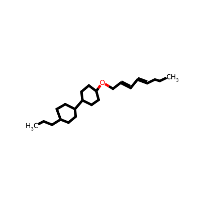 CCC/C=C/C=C/COC1CCC(C2CCC(CCC)CC2)CC1